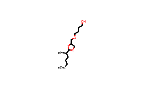 CCCCCCCCCCCCCC(CCC)C1OCC(COCCCCO)O1